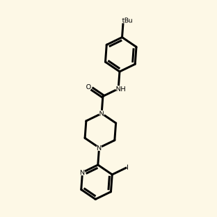 CC(C)(C)c1ccc(NC(=O)N2CCN(c3ncccc3I)CC2)cc1